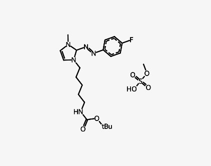 CN1C=CN(CCCCCNC(=O)OC(C)(C)C)C1N=Nc1ccc(F)cc1.COS(=O)(=O)O